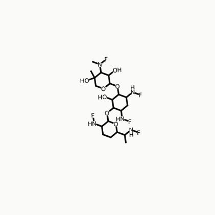 CC(NF)C1CCC(NF)C(OC2C(NF)CC(NF)C(OC3OCC(C)(O)C(N(C)F)C3O)C2O)O1